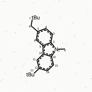 Cn1c2ccc(CC(C)(C)C)cc2c2cc(C(C)(C)C)ccc21